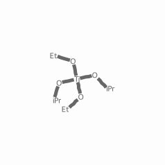 CC[O][Ti]([O]CC)([O]C(C)C)[O]C(C)C